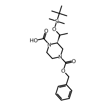 CC(O[Si](C)(C)C(C)(C)C)[C@H]1CN(C(=O)OCc2ccccc2)CCN1C(=O)O